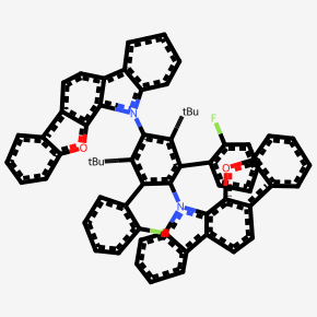 CC(C)(C)c1c(-c2ccccc2F)c(-n2c3ccccc3c3ccc4c5ccccc5oc4c32)c(-c2ccccc2F)c(C(C)(C)C)c1-n1c2ccccc2c2ccc3c4ccccc4oc3c21